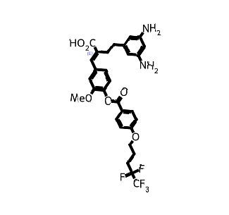 COc1cc(/C=C(\CCc2cc(N)cc(N)c2)C(=O)O)ccc1OC(=O)c1ccc(OCCCC(F)(F)C(F)(F)F)cc1